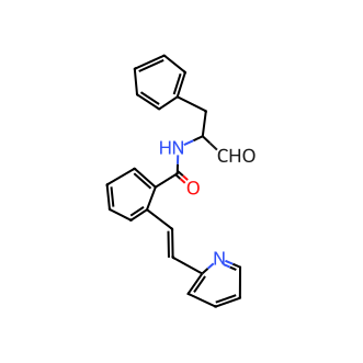 O=CC(Cc1ccccc1)NC(=O)c1ccccc1C=Cc1ccccn1